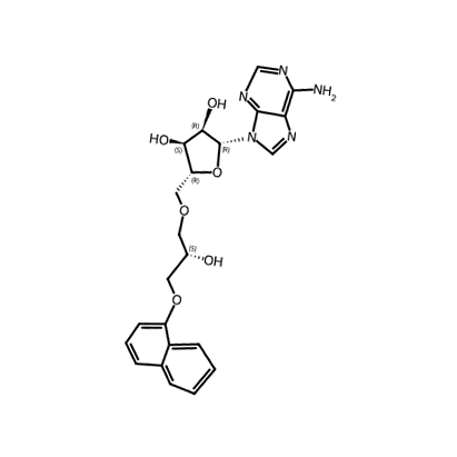 Nc1ncnc2c1ncn2[C@@H]1O[C@H](COC[C@H](O)COc2cccc3ccccc23)[C@@H](O)[C@H]1O